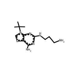 CC(C)(C)n1cnc2c(N)nc(NCCCN)nc21